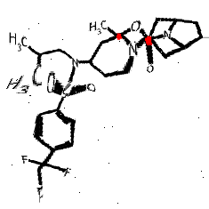 CCOC(=O)N1C2CCC1CC(N1CCC(N(CC(C)C)S(=O)(=O)c3ccc(C(F)(F)F)cc3)CC1)C2